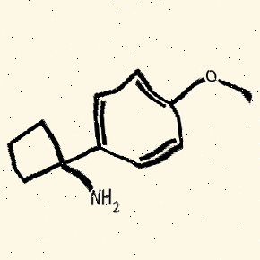 COc1ccc(C2(N)CCC2)cc1